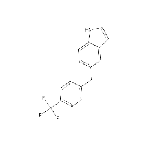 FC(F)(F)c1ccc(Cc2ccc3[nH]ccc3c2)cc1